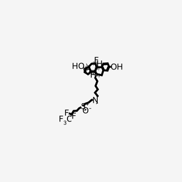 CN(CCCCCC[C@@H]1Cc2cc(O)ccc2[C@@H]2[C@@H]1[C@@H]1CC[C@H](O)[C@@]1(C)C[C@@H]2F)CCC[S+]([O-])CCCC(F)(F)C(F)(F)F